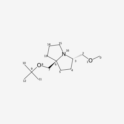 COC[C@@H]1CC[C@]2(COC(C)(C)C)CCCN12